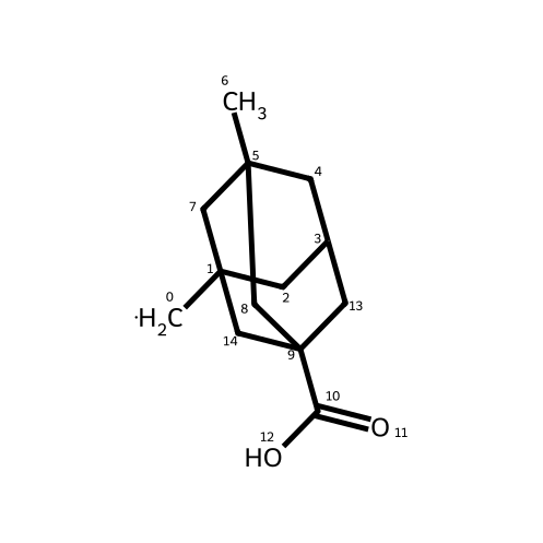 [CH2]C12CC3CC(C)(C1)CC(C(=O)O)(C3)C2